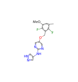 COc1cc(C)c(F)c(COc2cnc(Nc3cn[nH]c3)nc2)c1F